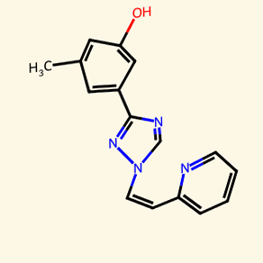 Cc1cc(O)cc(-c2ncn(/C=C\c3ccccn3)n2)c1